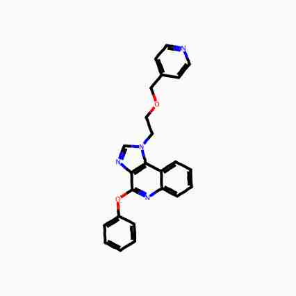 c1ccc(Oc2nc3ccccc3c3c2ncn3CCOCc2ccncc2)cc1